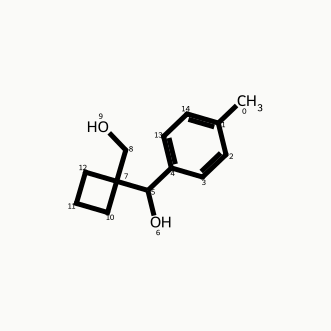 Cc1ccc(C(O)C2(CO)CCC2)cc1